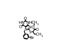 CCOC(=O)C(CC)Sc1nc2[nH]c(=O)[nH]c(=O)c2n1Cc1cccc(Br)c1